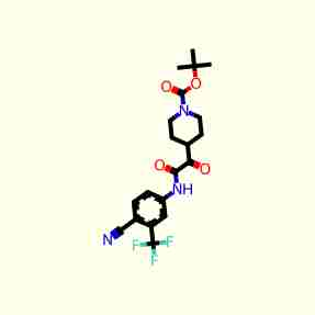 CC(C)(C)OC(=O)N1CCC(C(=O)C(=O)Nc2ccc(C#N)c(C(F)(F)F)c2)CC1